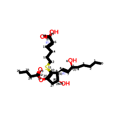 CCCCC[C@H](O)/C=C/[C@@H]1C(SCCC/C=C/C(=O)O)=C(OC(=O)CCC)C[C@H]1O